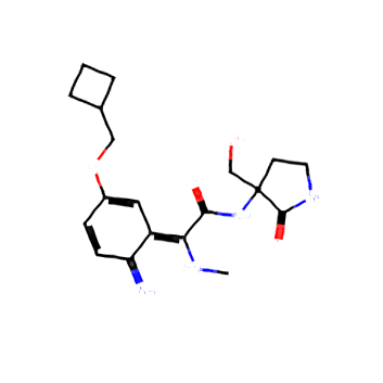 CN/C(C(=O)NC1(CO)CCNC1=O)=C1/C=C(OCC2CCC2)C=CC1=N